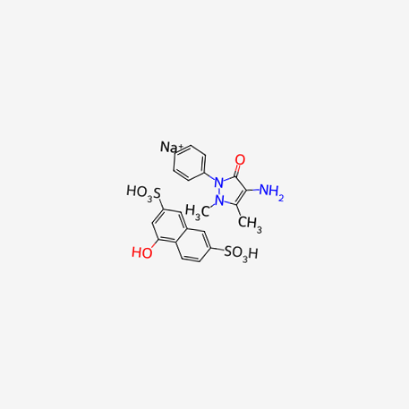 Cc1c(N)c(=O)n(-c2ccccc2)n1C.O=S(=O)(O)c1ccc2c(O)cc(S(=O)(=O)O)cc2c1.[Na+]